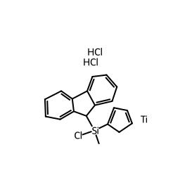 C[Si](Cl)(C1=CC=CC1)C1c2ccccc2-c2ccccc21.Cl.Cl.[Ti]